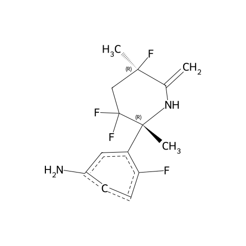 C=C1N[C@](C)(c2cc(N)ccc2F)C(F)(F)C[C@@]1(C)F